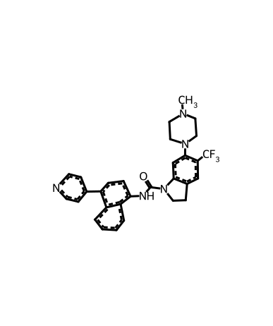 CN1CCN(c2cc3c(cc2C(F)(F)F)CCN3C(=O)Nc2ccc(-c3ccncc3)c3ccccc23)CC1